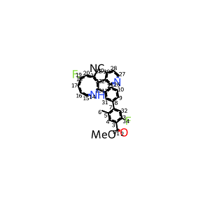 COC(=O)c1cc(C)c(-c2cccc(-c3[nH]cccc(F)cc(C)c3-c3cnccc3C#N)c2)cc1F